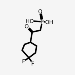 O=C(CP(=O)(O)O)C1CCC(F)(F)CC1